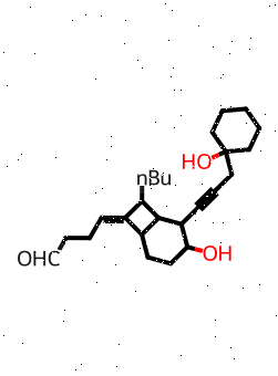 CCCCC1/C(=C/CCC=O)C2CCC(O)C(C#CCC3(O)CCCCC3)C12